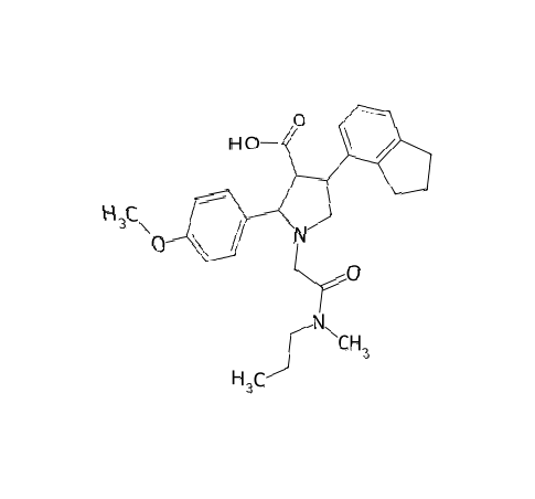 CCCN(C)C(=O)CN1CC(c2cccc3c2CCC3)C(C(=O)O)C1c1ccc(OC)cc1